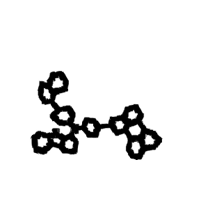 c1ccc(-c2cccc3cccc(-c4cccc(-c5ccc(N(c6ccc(-c7cccc8ccccc78)cc6)c6cccc7c6sc6ccccc67)cc5)c4)c23)cc1